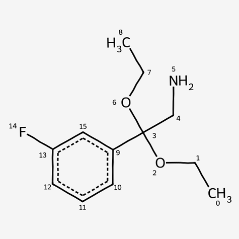 CCOC(CN)(OCC)c1cccc(F)c1